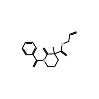 C=CCOC(=C)C1(C)CCCN(C(=C)c2ccccc2)C1=C